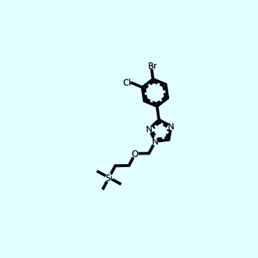 C[Si](C)(C)CCOCn1cnc(-c2ccc(Br)c(Cl)c2)n1